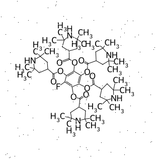 CC1(C)CC(C(=O)Oc2c(F)c(OC(=O)C3CC(C)(C)NC(C)(C)C3)c(OC(=O)C3CC(C)(C)NC(C)(C)C3)c(OC(=O)C3CC(C)(C)NC(C)(C)C3)c2OC(=O)C2CC(C)(C)NC(C)(C)C2)CC(C)(C)N1